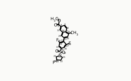 COC(=O)c1ccc2c(C)cc(-c3c(F)cc(S(=O)(=O)N4CC[C@H](F)C4)cc3F)cc2c1